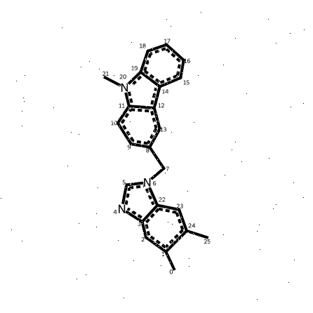 Cc1cc2ncn(Cc3ccc4c(c3)c3ccccc3n4C)c2cc1C